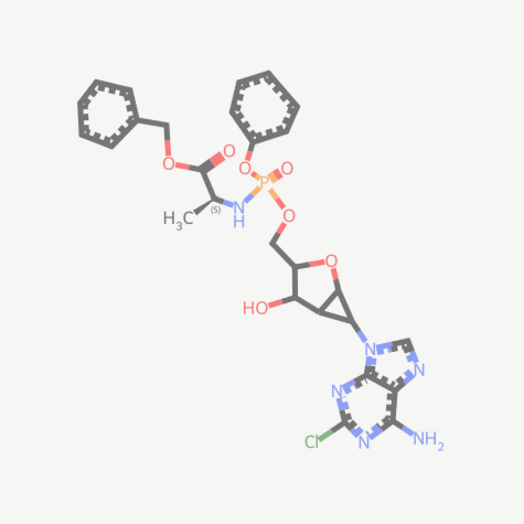 C[C@H](NP(=O)(OCC1OC2C(C1O)C2n1cnc2c(N)nc(Cl)nc21)Oc1ccccc1)C(=O)OCc1ccccc1